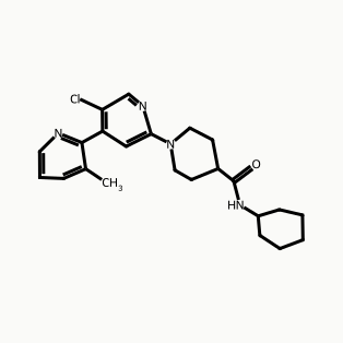 Cc1cccnc1-c1cc(N2CCC(C(=O)NC3CCCCC3)CC2)ncc1Cl